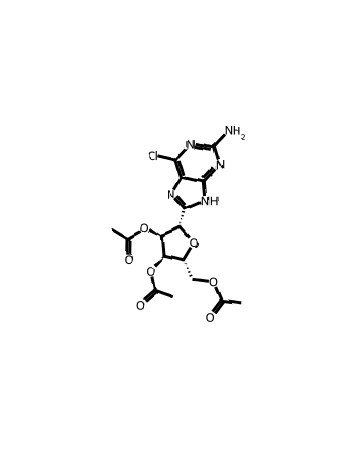 CC(=O)OC[C@H]1O[C@@H](c2nc3c(Cl)nc(N)nc3[nH]2)[C@H](OC(C)=O)[C@@H]1OC(C)=O